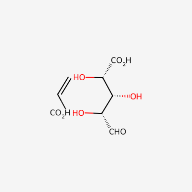 C=CC(=O)O.O=C[C@H](O)[C@@H](O)[C@H](O)C(=O)O